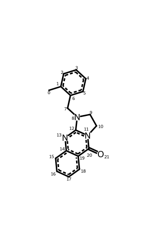 Cc1ccccc1CN1CCn2c1nc1ccccc1c2=O